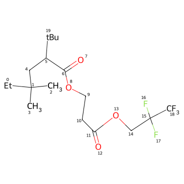 CCC(C)(C)CC(C(=O)OCCC(=O)OCC(F)(F)C(F)(F)F)C(C)(C)C